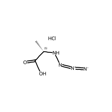 C[C@H](NN=[N+]=[N-])C(=O)O.Cl